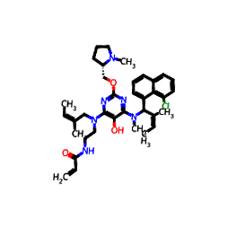 C=CC(=O)NCCN(C/C(C)=C\C)c1nc(OC[C@@H]2CCCN2C)nc(N(C)C(/C(C)=C\C)c2cccc3cccc(Cl)c23)c1O